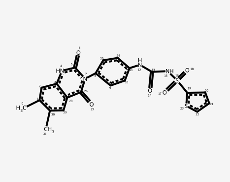 Cc1cc2[nH]c(=O)n(-c3ccc(NC(=O)NS(=O)(=O)c4cccs4)cc3)c(=O)c2cc1C